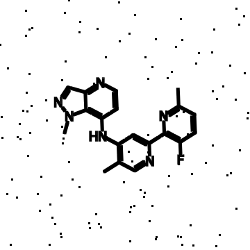 Cc1ccc(F)c(-c2cc(Nc3ccnc4cnn(C)c34)c(C)cn2)n1